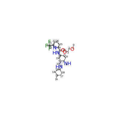 COCCOC1=CC(=N)/C(=C\NC2CCC(C)CC2)C=C1NC(=O)c1cccc(C(F)(F)F)n1